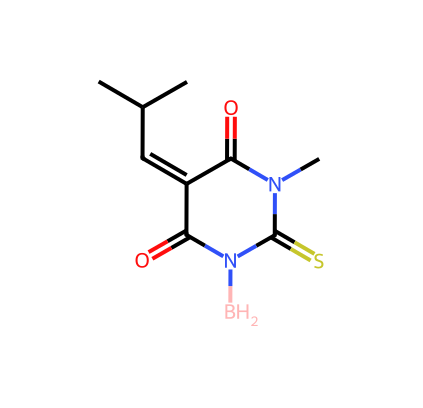 BN1C(=O)/C(=C/C(C)C)C(=O)N(C)C1=S